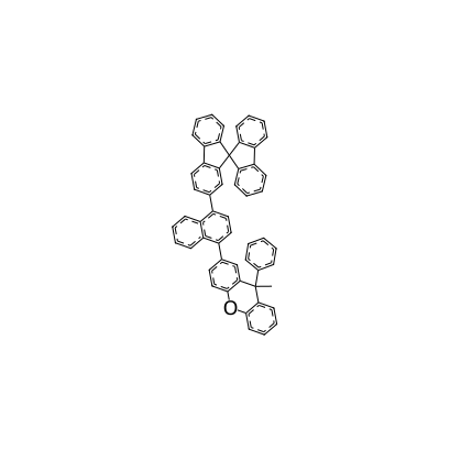 CC1(c2ccccc2)c2ccccc2Oc2ccc(-c3ccc(-c4ccc5c(c4)C4(c6ccccc6-c6ccccc64)c4ccccc4-5)c4ccccc34)cc21